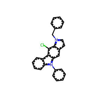 Clc1c2c3ccccc3n(-c3ccccc3)c2cc2ccn(Cc3ccccc3)c12